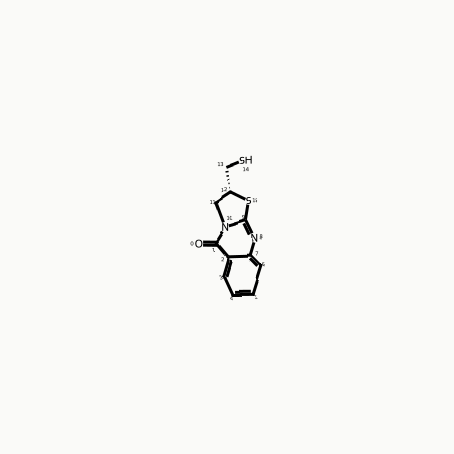 O=c1c2ccccc2nc2n1C[C@H](CS)S2